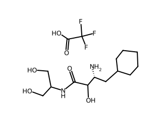 N[C@H](CC1CCCCC1)C(O)C(=O)NC(CO)CO.O=C(O)C(F)(F)F